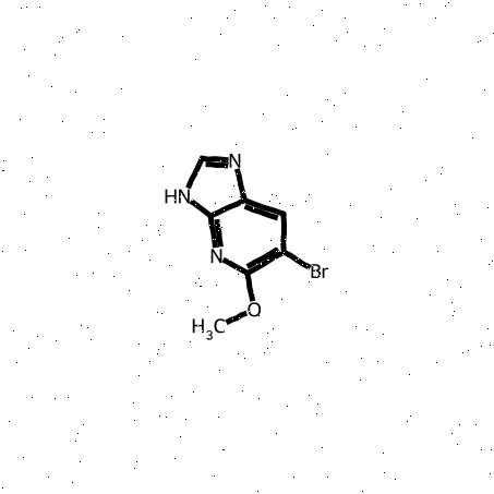 COc1nc2[nH]cnc2cc1Br